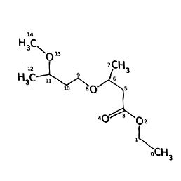 CCOC(=O)CC(C)OCCC(C)OC